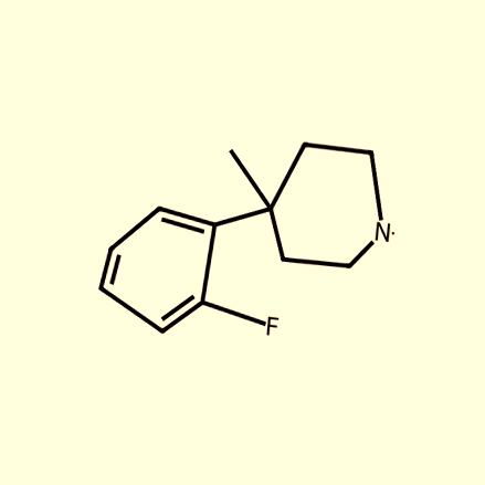 CC1(c2ccccc2F)CC[N]CC1